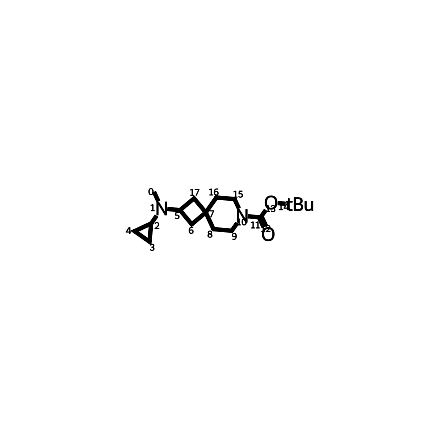 CN(C1CC1)C1CC2(CCN(C(=O)OC(C)(C)C)CC2)C1